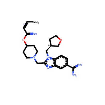 CN/C=C\C(=N)OC1CCN(Cc2nc3cc(C(=N)N)ccc3n2C[C@H]2CCOC2)CC1